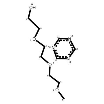 COCCOCCOCCO.c1ncncn1